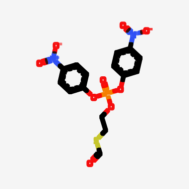 O=CSCCOP(=O)(Oc1ccc([N+](=O)[O-])cc1)Oc1ccc([N+](=O)[O-])cc1